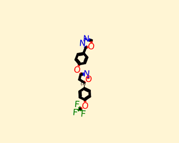 FC(F)(F)Oc1ccc([C@@H]2CC(Oc3ccc(-c4nnco4)cc3)=NO2)cc1